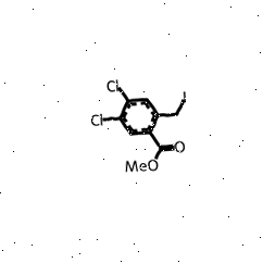 COC(=O)c1cc(Cl)c(Cl)cc1CI